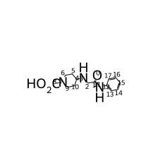 O=C(CNC1CCN(C(=O)O)CC1)Nc1ccccc1